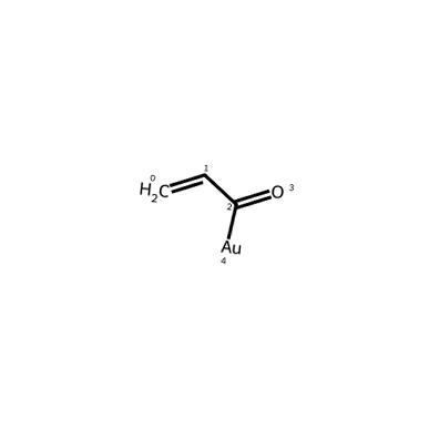 C=C[C](=O)[Au]